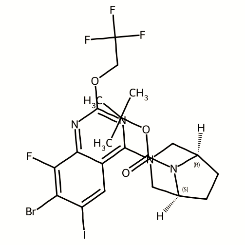 CC(C)(C)OC(=O)N1[C@@H]2CC[C@H]1CN(c1nc(OCC(F)(F)F)nc3c(F)c(Br)c(I)cc13)C2